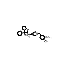 O=C(NC1C2CN(Cc3ccc(O)c([N+](=O)[O-])c3)CC21)C(O)(c1ccccc1)C1CCCC1